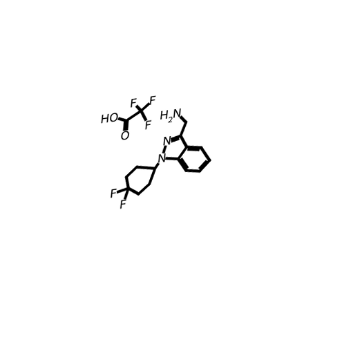 NCc1nn(C2CCC(F)(F)CC2)c2ccccc12.O=C(O)C(F)(F)F